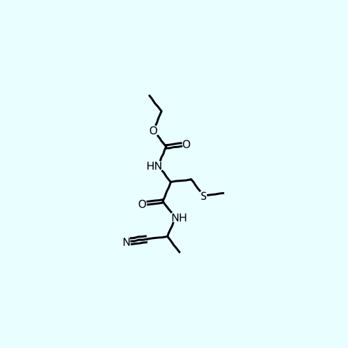 CCOC(=O)NC(CSC)C(=O)NC(C)C#N